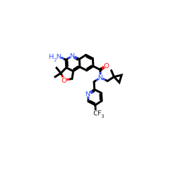 CC1(CN(Cc2ccc(C(F)(F)F)cn2)C(=O)c2ccc3nc(N)c4c(c3c2)COC4(C)C)CC1